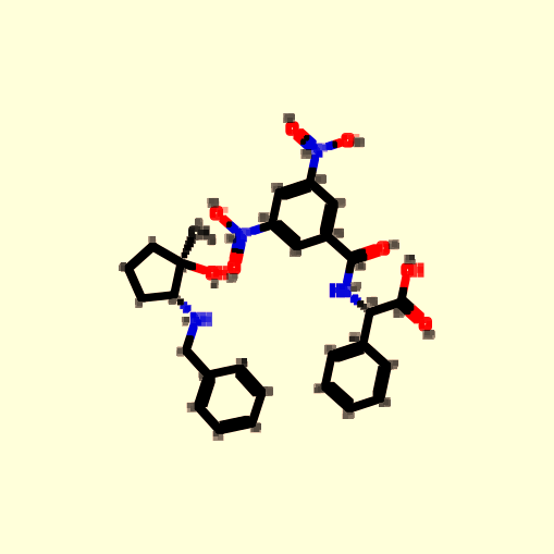 C[C@@]1(O)CCC[C@H]1NCc1ccccc1.O=C(N[C@H](C(=O)O)c1ccccc1)c1cc([N+](=O)[O-])cc([N+](=O)[O-])c1